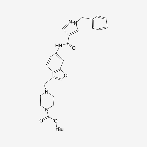 CC(C)(C)OC(=O)N1CCN(Cc2coc3cc(NC(=O)c4cnn(Cc5ccccc5)c4)ccc23)CC1